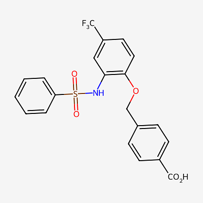 O=C(O)c1ccc(COc2ccc(C(F)(F)F)cc2NS(=O)(=O)c2ccccc2)cc1